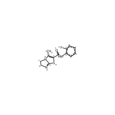 CC1=C(C(=O)Nc2ccccc2F)SC2=NCCN21